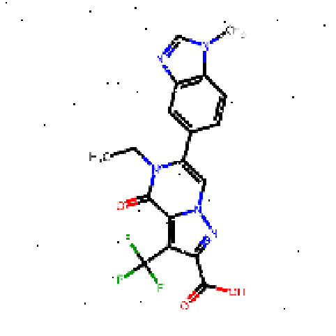 CCn1c(-c2ccc3c(c2)ncn3C)cn2nc(C(=O)O)c(C(F)(F)F)c2c1=O